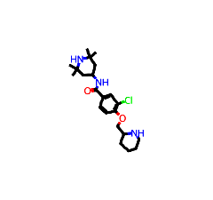 CC1(C)CC(NC(=O)c2ccc(OCC3CCCCN3)c(Cl)c2)CC(C)(C)N1